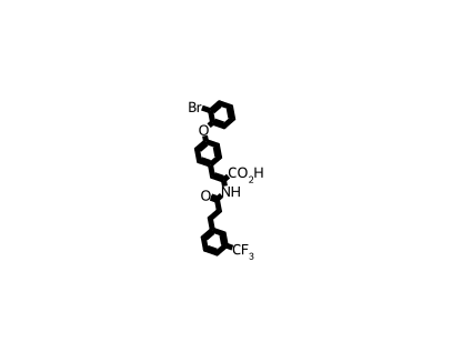 O=C(CCc1cccc(C(F)(F)F)c1)NC(=Cc1ccc(Oc2ccccc2Br)cc1)C(=O)O